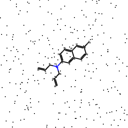 [CH]c1ccc2cc(N(CC=C)CC=C)ccc2c1